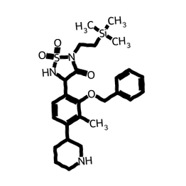 Cc1c(C2CCCNC2)ccc(C2NS(=O)(=O)N(CC[Si](C)(C)C)C2=O)c1OCc1ccccc1